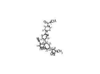 C#CC(=O)N1CCN(c2ccc(-c3cc(-c4cc(C)no4)cn4ncc(C#N)c34)cn2)CC1